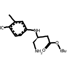 Cc1cc(N[C@H](CN)CC(=O)OC(C)(C)C)ccc1C#N